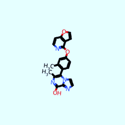 Cc1cc(Oc2nccc3occc23)ccc1-c1c(C)nc(O)c2nccn12